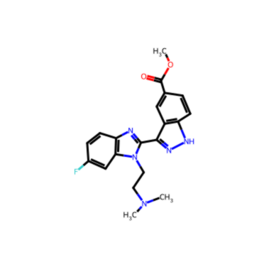 COC(=O)c1ccc2[nH]nc(-c3nc4ccc(F)cc4n3CCN(C)C)c2c1